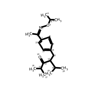 C/C(=N/OC(C)C)c1ccc(CC(C(=O)C(C)C)C(C)C)cc1